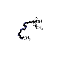 CC/C=C\C/C=C\C/C=C\C/C=C\C/C=C\CCCCC(OCCC)C(=O)O